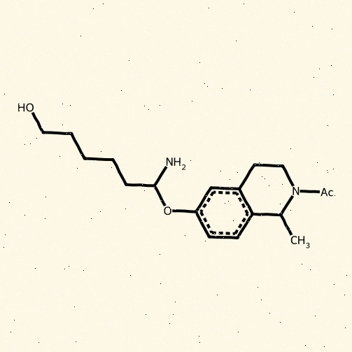 CC(=O)N1CCc2cc(OC(N)CCCCCO)ccc2C1C